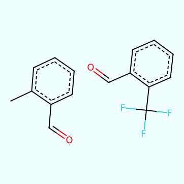 Cc1ccccc1C=O.O=Cc1ccccc1C(F)(F)F